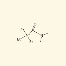 CC[N+](CC)(CC)C(=O)N(C)C